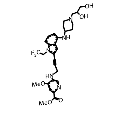 COC(=O)c1cc(OC)c(NCC#Cc2cc3c(NC4CCN(CC(O)CO)CC4)cccc3n2CC(F)(F)F)cn1